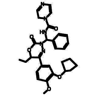 CCC1OC(=O)N(C(NC(=O)N2C=CN=CC2)c2ccccc2)N=C1c1ccc(OC)c(OC2CCCC2)c1